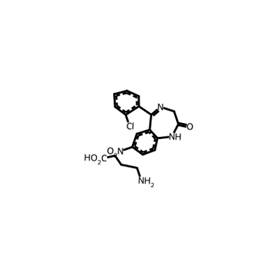 NCCCC(=O)O.O=C1CN=C(c2ccccc2Cl)c2cc([N+](=O)[O-])ccc2N1